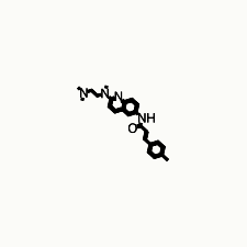 Cc1ccc(C=CC(=O)Nc2ccc3nc(N(C)CCN(C)C)ccc3c2)cc1